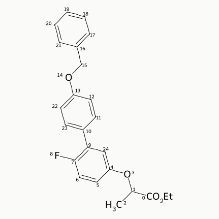 CCOC(=O)C(C)Oc1ccc(F)c(-c2ccc(OCc3ccccc3)cc2)c1